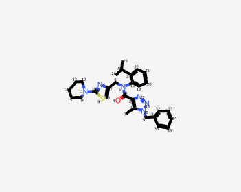 Cc1c(C(=O)N(Cc2csc(N3CCCCC3)n2)c2ccccc2C(C)C)nnn1Cc1ccccc1